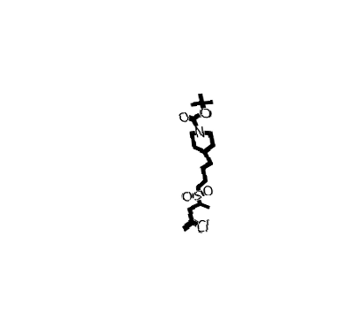 C=C(Cl)CC(C)S(=O)(=O)CCCCC1CCN(C(=O)OC(C)(C)C)CC1